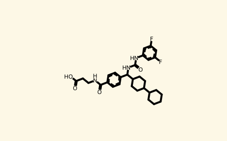 O=C(O)CCNC(=O)c1ccc(C(NC(=O)Nc2cc(F)cc(F)c2)C2CCC(C3CCCCC3)CC2)cc1